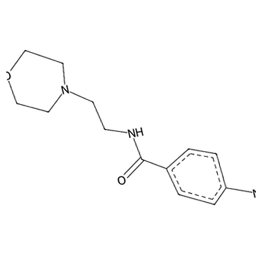 CNc1ccc(C(=O)NCCN2CCOCC2)cc1